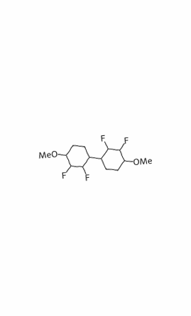 COC1CCC(C2CCC(OC)C(F)C2F)C(F)C1F